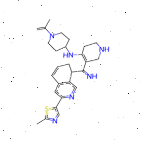 C=C(C)N1CCC(NC2=C(C(=N)C3CC=Cc4cc(-c5cnc(C)s5)ncc43)CNCC2)CC1